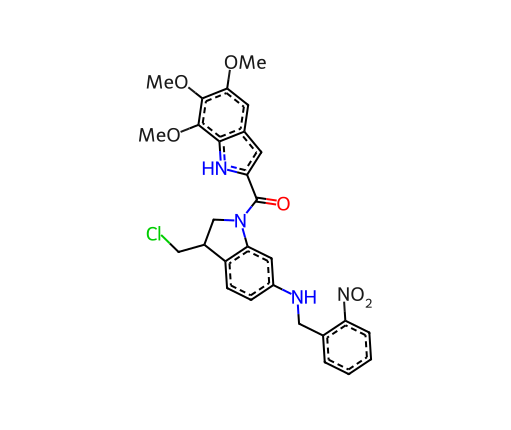 COc1cc2cc(C(=O)N3CC(CCl)c4ccc(NCc5ccccc5[N+](=O)[O-])cc43)[nH]c2c(OC)c1OC